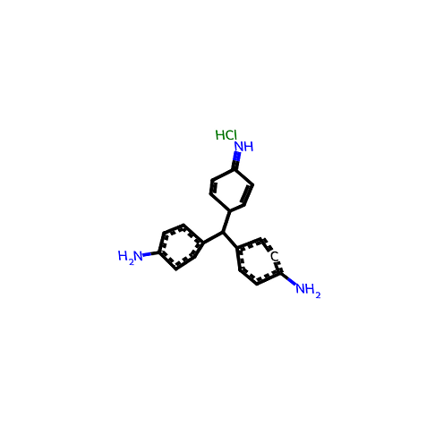 Cl.N=C1C=CC(C(c2ccc(N)cc2)c2ccc(N)cc2)C=C1